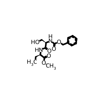 CC[C@@H](NC(=O)[C@@H](CO)NC(=O)OCc1ccccc1)C(=O)OC